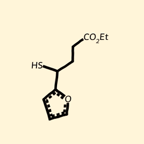 CCOC(=O)CCC(S)c1ccco1